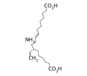 C=CC(CCC=CCCCCCCC(=O)O)CCCCCC(=O)O.N